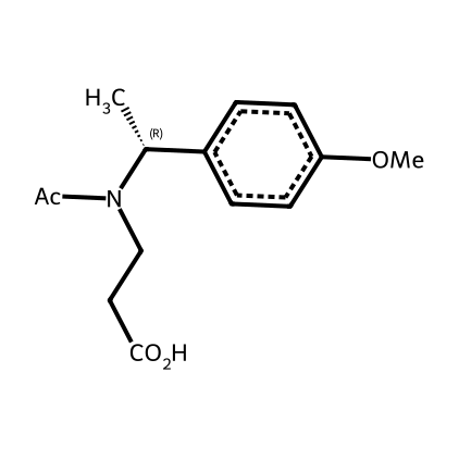 COc1ccc([C@@H](C)N(CCC(=O)O)C(C)=O)cc1